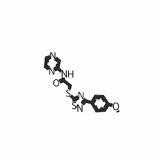 COc1ccc(-c2nsc(SCC(=O)Nc3cnccn3)n2)cc1